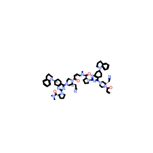 C=CC(=O)N1CCN(c2nc(N3CCC[C@H]3C(=O)N(C)C/C=C\C(=O)N3CCN(c4nc(N5CCC[C@@H]5C(=O)N(C)C)nc5c4CC[C@H](N4CCCc6ccccc64)C5)C[C@@H]3CC#N)nc3c2CC[C@H](N2CCCc4ccccc42)C3)C[C@@H]1CC#N